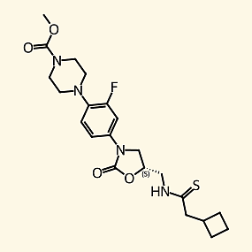 COC(=O)N1CCN(c2ccc(N3C[C@H](CNC(=S)CC4CCC4)OC3=O)cc2F)CC1